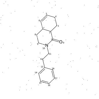 O=C1C2CCC=CC2CCN1CCc1ccccc1